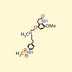 COc1ccc(OCCN(C)CCCc2ccc(NS(C)(=O)=O)cc2)c2c1NC(=O)CC2